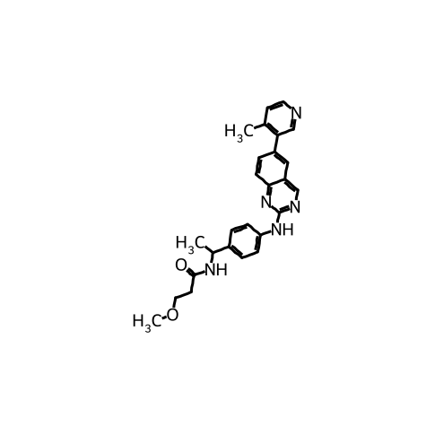 COCCC(=O)NC(C)c1ccc(Nc2ncc3cc(-c4cnccc4C)ccc3n2)cc1